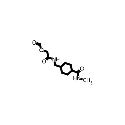 CNC(=O)C1CCC(CNC(=O)COC=O)CC1